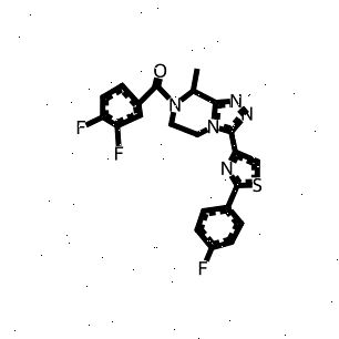 CC1c2nnc(-c3csc(-c4ccc(F)cc4)n3)n2CCN1C(=O)c1ccc(F)c(F)c1